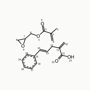 C=C(C)C(=O)OCC1CO1.C=C(CC=Cc1ccccc1)C(=O)O